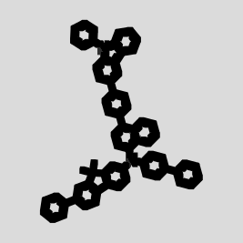 CC1(C)c2cc(-c3ccccc3)ccc2-c2ccc(N(c3ccc(-c4ccccc4)cc3)c3ccc(-c4ccc(-c5ccc6c(c5)c5ccccc5n6-c5ccccc5)cc4)c4ccccc34)cc21